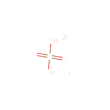 O=S(=O)(O)O.[Y].[Zr]